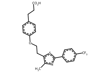 Cc1nc(-c2ccc(C(F)(F)F)cc2)sc1CCOc1ccc(CCC(=O)O)cc1